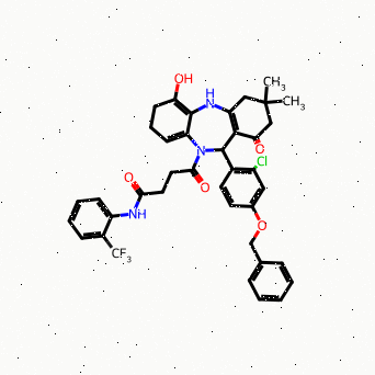 CC1(C)CC(=O)C2=C(C1)NC1=C(O)CCC=C1N(C(=O)CCC(=O)Nc1ccccc1C(F)(F)F)C2c1ccc(OCc2ccccc2)cc1Cl